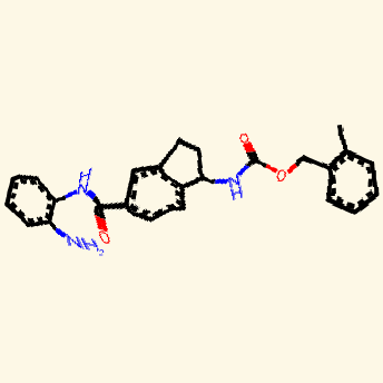 Cc1ccccc1COC(=O)NC1CCc2cc(C(=O)Nc3ccccc3N)ccc21